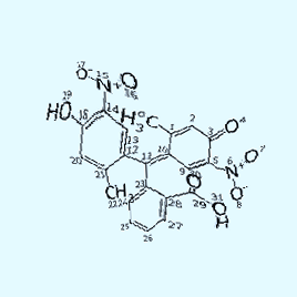 CC1=CC(=O)C([N+](=O)[O-])=C/C1=C(/c1cc([N+](=O)[O-])c(O)cc1C)c1ccccc1C(=O)O